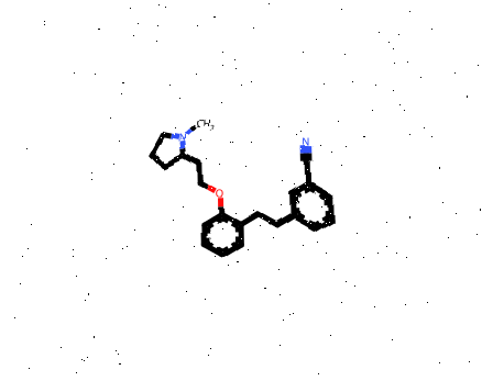 CN1CCCC1CCOc1ccccc1CCc1cccc(C#N)c1